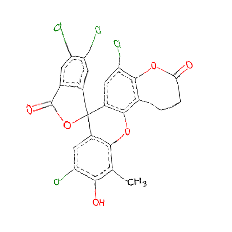 Cc1c(O)c(Cl)cc2c1Oc1c(cc(Cl)c3c1CCC(=O)O3)C21OC(=O)c2cc(Cl)c(Cl)cc21